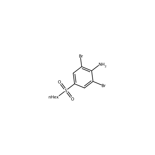 CCCCCCS(=O)(=O)c1cc(Br)c(N)c(Br)c1